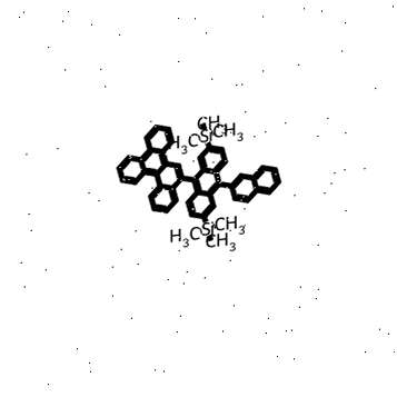 C[Si](C)(C)c1ccc2c(-c3cc4c5ccccc5c5ccccc5c4c4ccccc34)c3cc([Si](C)(C)C)ccc3c(-c3ccc4ccccc4c3)c2c1